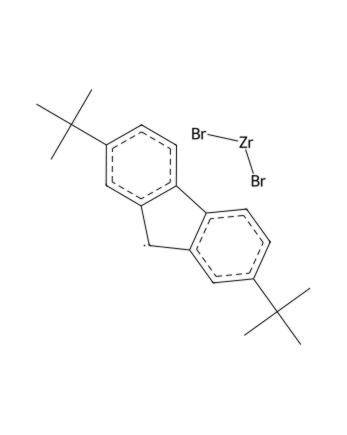 CC(C)(C)c1ccc2c(c1)[CH]c1cc(C(C)(C)C)ccc1-2.[Br][Zr][Br]